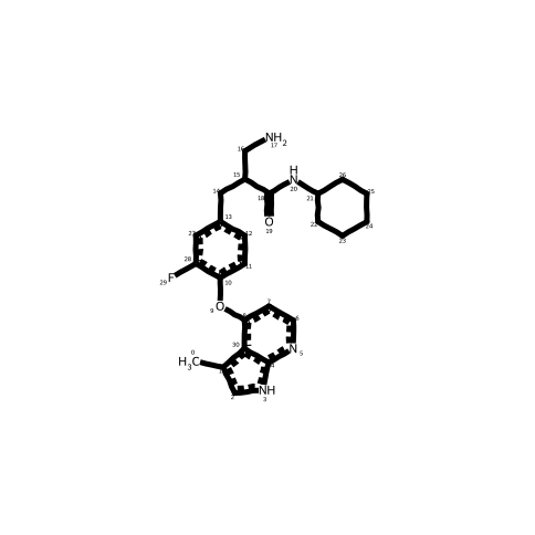 Cc1c[nH]c2nccc(Oc3ccc(CC(CN)C(=O)NC4CCCCC4)cc3F)c12